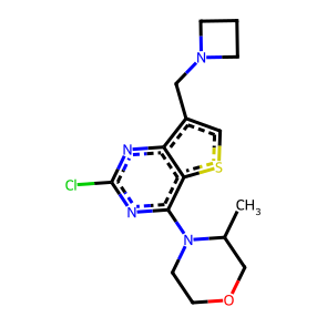 CC1COCCN1c1nc(Cl)nc2c(CN3CCC3)csc12